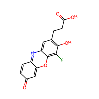 O=C(O)CCc1cc2nc3ccc(=O)cc-3oc2c(F)c1O